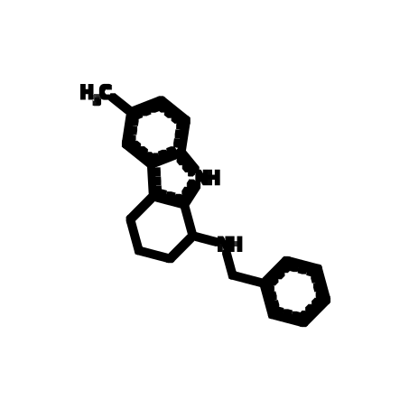 Cc1ccc2[nH]c3c(c2c1)CCCC3NCc1ccccc1